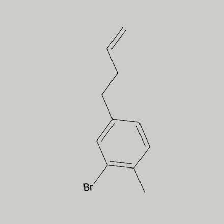 C=CCCc1ccc(C)c(Br)c1